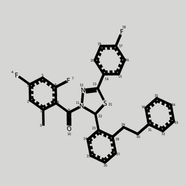 Cc1cc(F)cc(F)c1C(=O)N1N=C(c2ccc(F)cc2)SC1c1ccccc1CCc1ccccc1